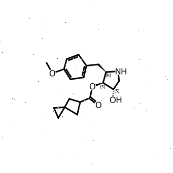 COc1ccc(C[C@H]2NC[C@H](O)[C@H]2OC(=O)C2CC3(CC3)C2)cc1